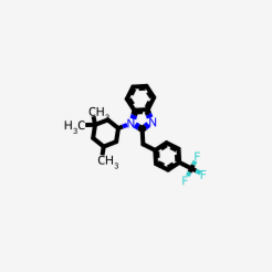 CC1CC(n2c(Cc3ccc(C(F)(F)F)cc3)nc3ccccc32)CC(C)(C)C1